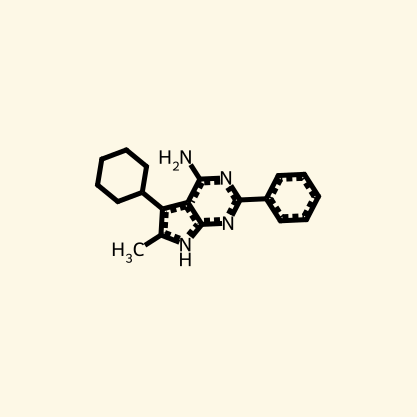 Cc1[nH]c2nc(-c3ccccc3)nc(N)c2c1C1CCCCC1